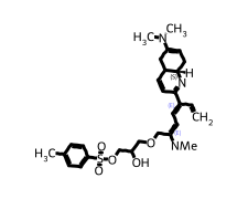 C=C/C(=C\C=C(/COCC(O)COS(=O)(=O)c1ccc(C)cc1)NC)C1=N[C@H]2CC=C(N(C)C)CC2C=C1